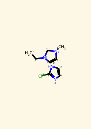 CCN1C=CN(C)C1.Clc1ncc[nH]1